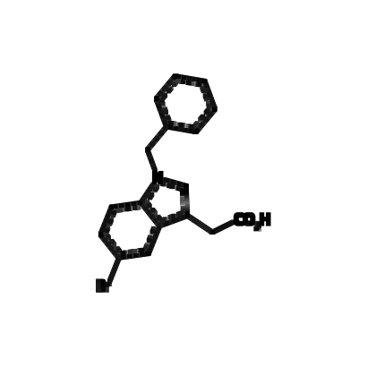 O=C(O)Cc1cn(Cc2ccccc2)c2ccc(Br)cc12